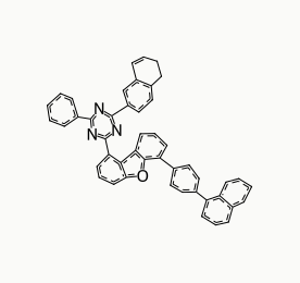 C1=Cc2cc(-c3nc(-c4ccccc4)nc(-c4cccc5oc6c(-c7ccc(-c8cccc9ccccc89)cc7)cccc6c45)n3)ccc2CC1